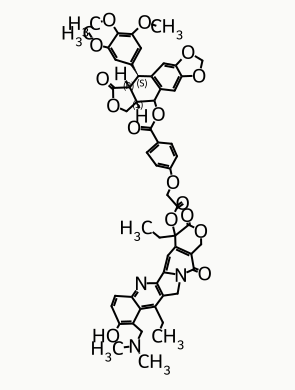 CCc1c2c(nc3ccc(O)c(CN(C)C)c13)-c1cc3c(c(=O)n1C2)COC(=O)C3(CC)OC(=O)COc1ccc(C(=O)OC2c3cc4c(cc3[C@H](c3cc(OC)c(OC)c(OC)c3)[C@H]3C(=O)OC[C@@H]23)OCO4)cc1